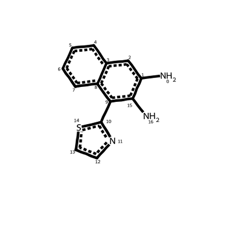 Nc1cc2ccccc2c(-c2nccs2)c1N